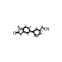 CN1C(=O)Cc2cc(-c3cncc(CC#N)c3)ccc21